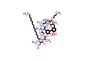 CCCCCCCCCCCCCCCC(=O)N(C)[C@H](CO)C(=O)N[C@H](C)C(=O)NCC(=O)N(C)[C@H](C(=O)N[C@@H](C)C(C)=O)c1ccc(O)c(-c2cc(C[C@H](C)C(=O)N[C@H](C)C(=O)OCCCC)ccc2O)c1